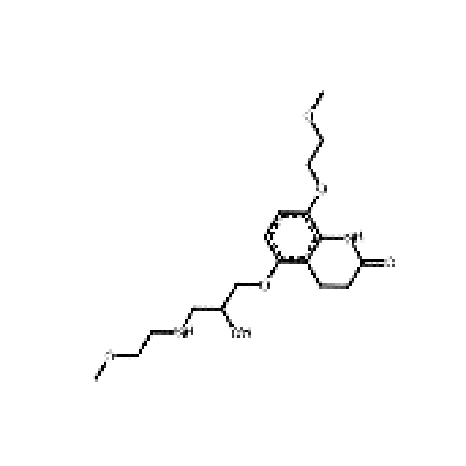 COCCNCC(O)COc1ccc(OCCOC)c2c1CCC(=O)N2